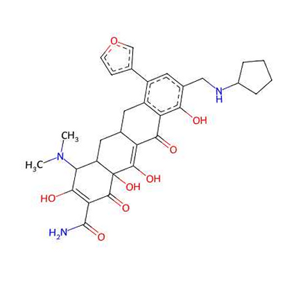 CN(C)C1C(O)=C(C(N)=O)C(=O)C2(O)C(O)=C3C(=O)c4c(O)c(CNC5CCCC5)cc(-c5ccoc5)c4CC3CC12